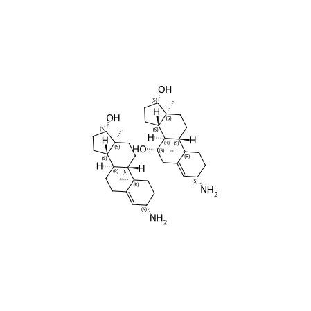 C[C@]12CC[C@H]3[C@@H](CCC4=C[C@@H](N)CC[C@@]43C)[C@@H]1CC[C@@H]2O.C[C@]12CC[C@H]3[C@@H]([C@@H](O)CC4=C[C@@H](N)CC[C@@]43C)[C@@H]1CC[C@@H]2O